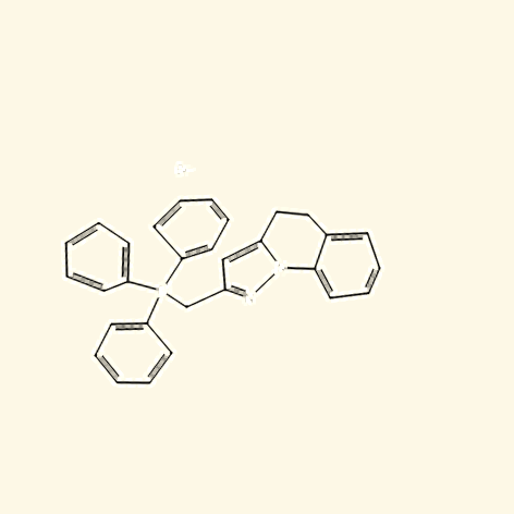 [Br-].c1ccc([P+](Cc2cc3n(n2)-c2ccccc2CC3)(c2ccccc2)c2ccccc2)cc1